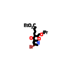 CCOC(=O)CCCCC(C(=O)COC(C)C)C(=O)c1cncc(Br)c1